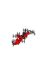 CC(C)c1ccccc1[C@@H]1CN(Cc2ccc(F)c(F)c2)CCN1C1CCN(c2ccc(C(=O)NS(=O)(=O)c3cnc(NC[C@H]4CC[C@](C)(O)CC4)c([NH+](C)[O-])c3)c(Oc3cnc4[nH]ccc4c3)c2)CC1